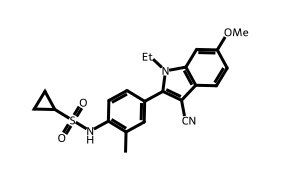 CCn1c(-c2ccc(NS(=O)(=O)C3CC3)c(C)c2)c(C#N)c2ccc(OC)cc21